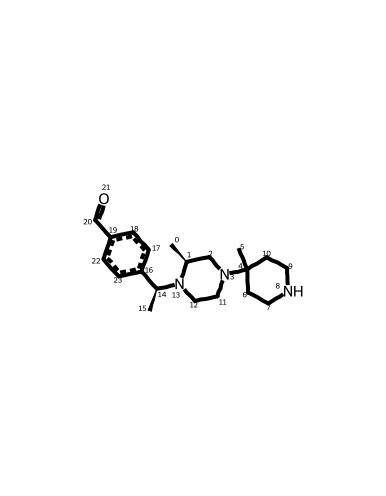 C[C@H]1CN(C2(C)CCNCC2)CCN1[C@@H](C)c1ccc(C=O)cc1